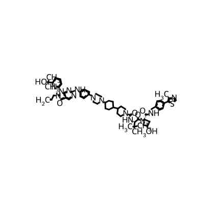 C=CCn1c(=O)c2cnc(Nc3ccc(N4CCN(C5CCC(C6CCN(C(=O)N[C@H](C(=O)N7C[C@H](O)C[C@H]7C(=O)NCc7ccc(-c8scnc8C)cc7)C(C)(C)C)CC6)CC5)CC4)cc3)nc2n1-c1cccc(C(C)(C)O)n1